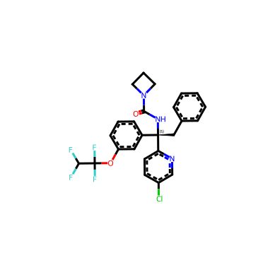 O=C(N[C@@](Cc1ccccc1)(c1cccc(OC(F)(F)C(F)F)c1)c1ccc(Cl)cn1)N1CCC1